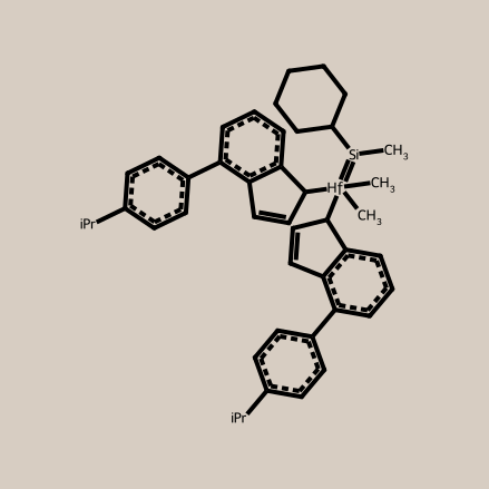 CC(C)c1ccc(-c2cccc3c2C=C[CH]3[Hf]([CH3])([CH3])([CH]2C=Cc3c(-c4ccc(C(C)C)cc4)cccc32)=[Si](C)C2CCCCC2)cc1